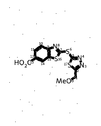 COCc1nnc(Sc2nc3ccc(C(=O)O)cc3s2)s1